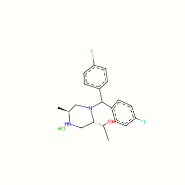 CC(O)[C@@H]1CN[C@@H](C)CN1C(c1ccc(F)cc1)c1ccc(F)cc1.Cl